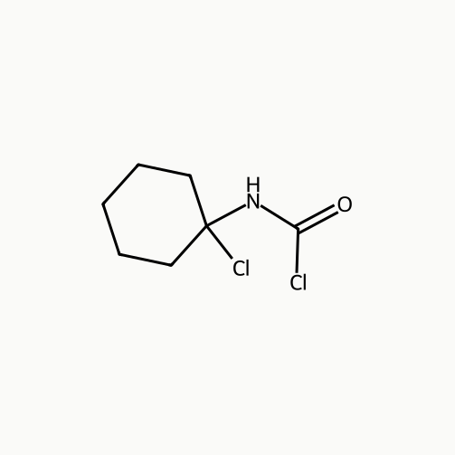 O=C(Cl)NC1(Cl)CCCCC1